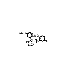 COc1cccc([C@H]2NCCC[C@H]2NCc2cc(Cl)ccc2OC)c1